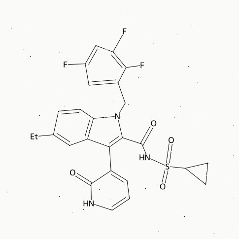 CCc1ccc2c(c1)c(-c1ccc[nH]c1=O)c(C(=O)NS(=O)(=O)C1CC1)n2Cc1cc(F)cc(F)c1F